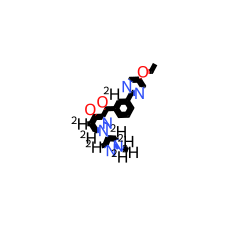 [2H]c1nn(C([2H])([2H])[2H])c([2H])c1-n1nc(C(=O)c2cccc(-c3ncc(OCC)cn3)c2[2H])c(=O)c([2H])c1[2H]